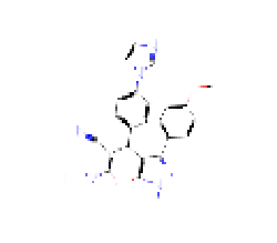 COc1ccc(-c2nn(C)c3c2C(c2ccc(-n4ccnc4)cc2)C(C#N)=C(N)O3)cc1